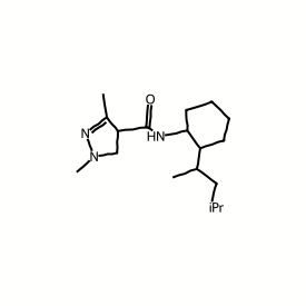 CC1=NN(C)CC1C(=O)NC1CCCCC1C(C)CC(C)C